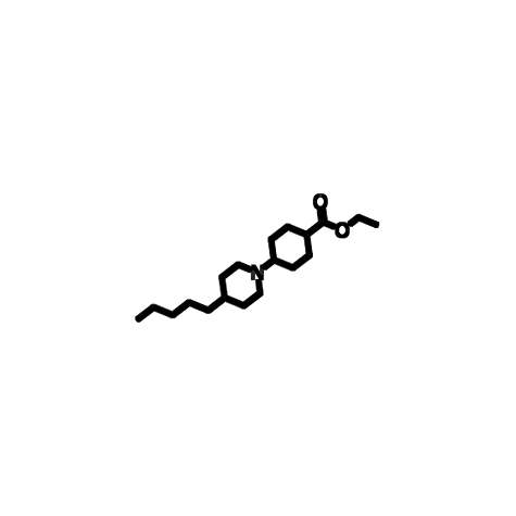 CCCCCC1CCN(C2CCC(C(=O)OCC)CC2)CC1